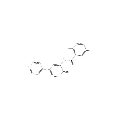 O=C(Nc1cc(-c2ccncc2)c[nH]c1=O)c1cc(F)ccc1F